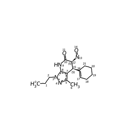 CCCn1nc(C)c2c1NC(=O)[C@@H](N=O)[C@H]2C1=CCCCC1